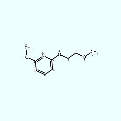 COCCOc1cccc(OC)n1